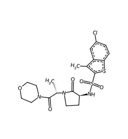 Cc1c(S(=O)(=O)N[C@H]2CCN([C@@H](C)C(=O)N3CCOCC3)C2=O)sc2ccc(Cl)cc12